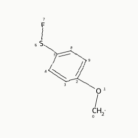 [CH2]Oc1ccc(SF)cc1